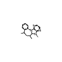 CC1CC(C)C2N(C)c3nccnc3N2c2ccccc21